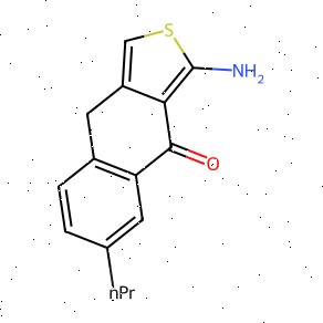 CCCc1ccc2c(c1)C(=O)c1c(csc1N)C2